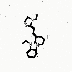 CCN1CCSC1=CC=C1CCCn2c1[n+](CC)c1ccccc12.[I-]